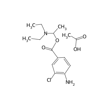 CC(=O)O.CCN(CC)C(C)OC(=O)c1ccc(N)c(Cl)c1